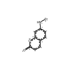 CCNc1ccc2ccc(=O)oc2c1